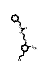 COc1cc(CCO)ccc1OCCNC(=O)OCc1ccccc1